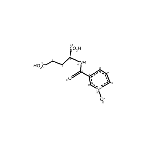 O=C(O)CC[C@H](NC(=O)c1ccc[n+]([O-])c1)C(=O)O